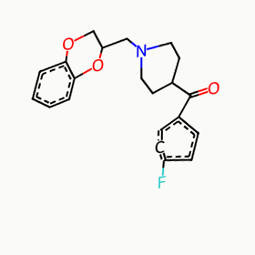 O=C(c1ccc(F)cc1)C1CCN(CC2COc3ccccc3O2)CC1